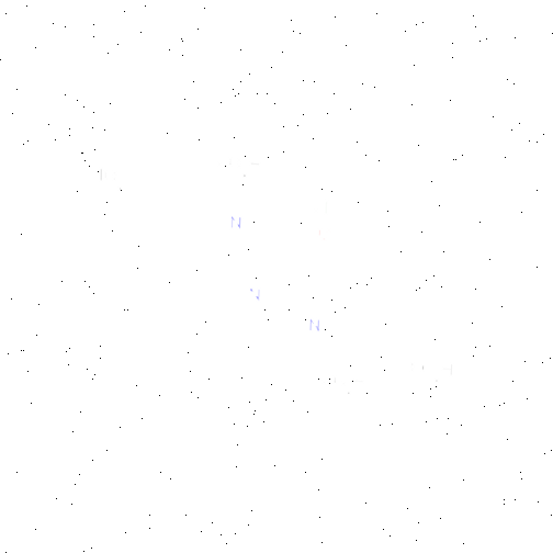 Cl.O=C(O)CC[C@H](C(=O)O)N1CCOCCN([C@H](CCC(=O)O)C(=O)O)Cc2cccc(n2)C1